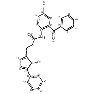 CCC1C(CCC(=O)Nc2ccc(Cl)cc2C(=O)c2ccccc2)=CC=C1c1ccncc1